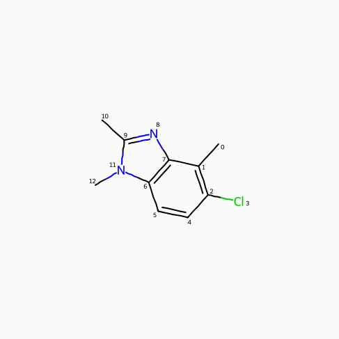 Cc1c(Cl)ccc2c1nc(C)n2C